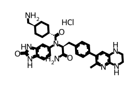 Cc1nc2c(cc1-c1ccc(C[C@@H](C(N)=O)N(c3ccc4[nH]c(=O)[nH]c4c3)C(=O)[C@H]3CC[C@H](CN)CC3)cc1)NCCN2.Cl